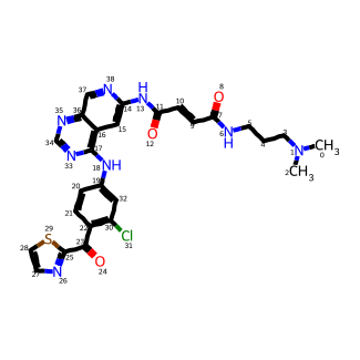 CN(C)CCCNC(=O)C=CC(=O)Nc1cc2c(Nc3ccc(C(=O)c4nccs4)c(Cl)c3)ncnc2cn1